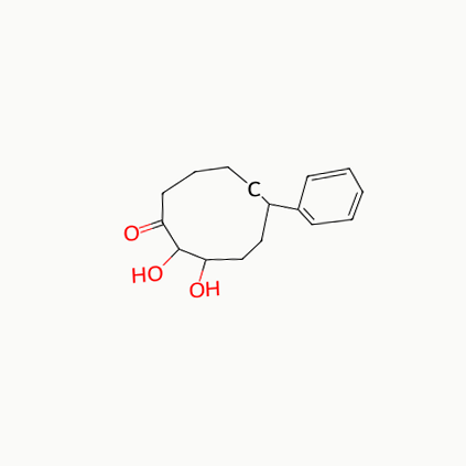 O=C1CCCCC(c2ccccc2)CCC(O)C1O